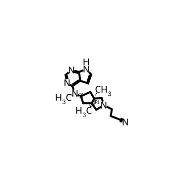 CN(c1ncnc2[nH]ccc12)[C@H]1C[C@@]2(C)CN(CCC#N)C[C@@]2(C)C1